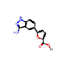 CC(C)OC(=O)c1ccc(-c2ccc3[nH]nc(N)c3c2)o1